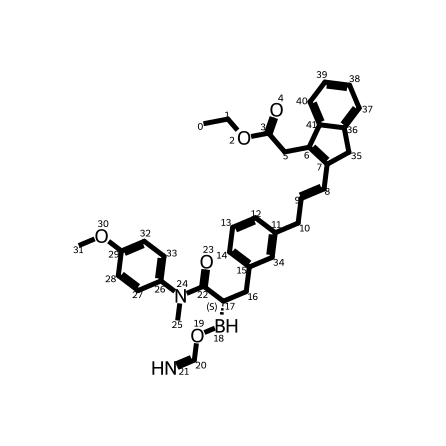 CCOC(=O)CC1=C(C=CCc2cccc(C[C@H](BOC=N)C(=O)N(C)c3ccc(OC)cc3)c2)Cc2ccccc21